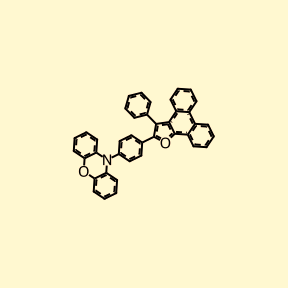 c1ccc(-c2c(-c3ccc(N4c5ccccc5Oc5ccccc54)cc3)oc3c4ccccc4c4ccccc4c23)cc1